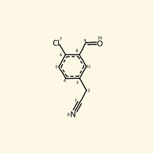 N#CCc1ccc(Cl)c(C=O)c1